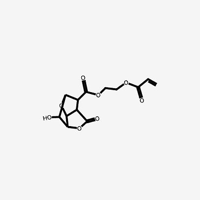 C=CC(=O)OCCOC(=O)C1C2OC3C(OC(=O)C31)C2O